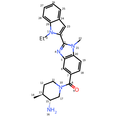 CCn1c(-c2nc3cc(C(=O)N4CC[C@H](C)[C@@H](N)C4)ccc3n2C)cc2ccccc21